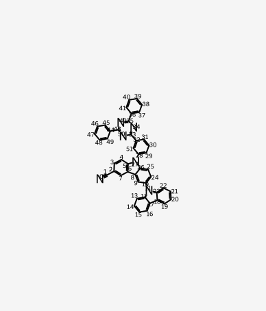 N#Cc1ccc2c(c1)c1cc(-n3c4ccccc4c4ccccc43)ccc1n2-c1cccc(-c2nc(-c3ccccc3)nc(-c3ccccc3)n2)c1